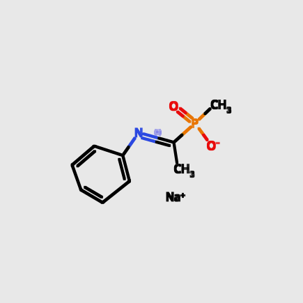 C/C(=N\c1ccccc1)P(C)(=O)[O-].[Na+]